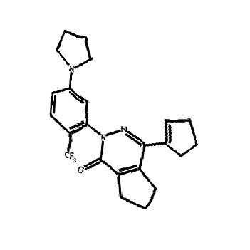 O=c1c2c(c(C3=CCCC3)nn1-c1cc(N3CCCC3)ccc1C(F)(F)F)CCC2